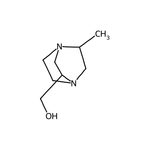 CC1CN2CCN1CC2CO